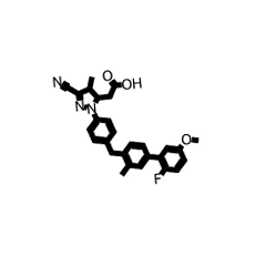 COc1ccc(F)c(-c2ccc(Cc3ccc(N4N=C(C#N)C(C)C4CC(=O)O)cc3)c(C)c2)c1